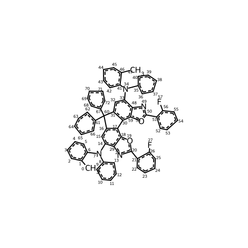 Cc1ccccc1N(c1ccccc1)c1cc2c(c3oc(-c4ccccc4F)nc13)-c1c(cc(N(c3ccccc3)c3ccccc3C)c3nc(-c4ccccc4F)oc13)C2(c1ccccc1)c1ccccc1